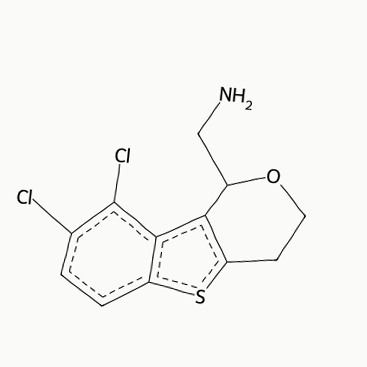 NCC1OCCc2sc3ccc(Cl)c(Cl)c3c21